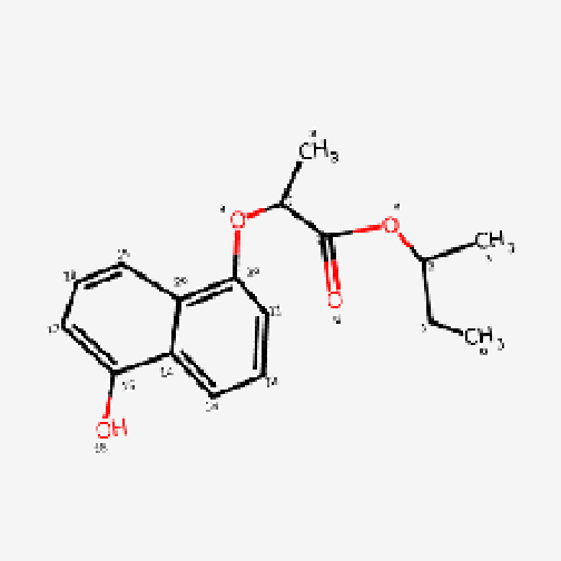 CCC(C)OC(=O)C(C)Oc1cccc2c(O)cccc12